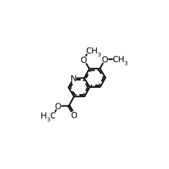 COC(=O)c1cnc2c(OC)c(OC)ccc2c1